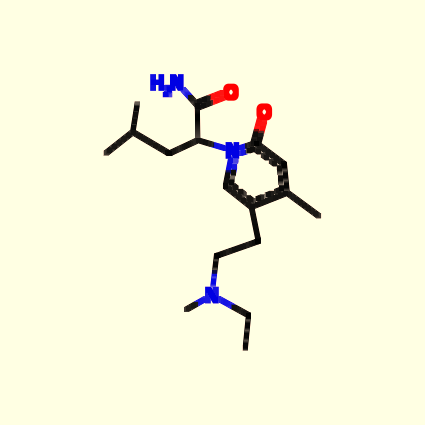 CCN(C)CCc1cn(C(CC(C)C)C(N)=O)c(=O)cc1C